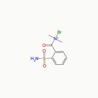 C[N+](C)(Br)C(=O)c1ccccc1S(N)(=O)=O